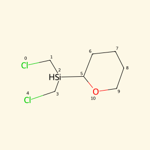 ClC[SiH](CCl)C1CCCCO1